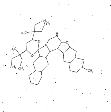 CCC(C)(CC)C1CC(C(C)(CC)CC)OC2(O1)C1CC3CCCCC3CC1C1C3C(NCN12)OC1CC2CC(C)CCC2CC13